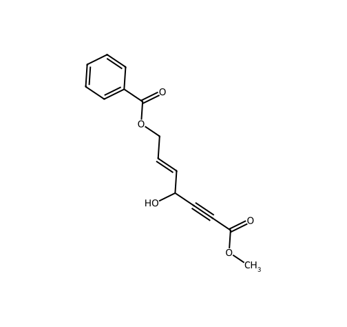 COC(=O)C#CC(O)/C=C/COC(=O)c1ccccc1